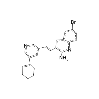 Nc1nc2ccc(Br)cc2cc1C=Cc1cncc(C2=CCCCC2)c1